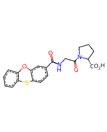 O=C(NCC(=O)N1CCCC1C(=O)O)c1ccc2c(c1)Oc1ccccc1S2